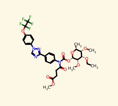 CCO[C@@H]1[C@H](OC)[C@H](OC(=O)N(C(=O)CCC(=O)OC)c2ccc(-c3ncn(-c4ccc(OC(F)(F)C(F)(F)F)cc4)n3)cc2)O[C@@H](C)[C@@H]1OC